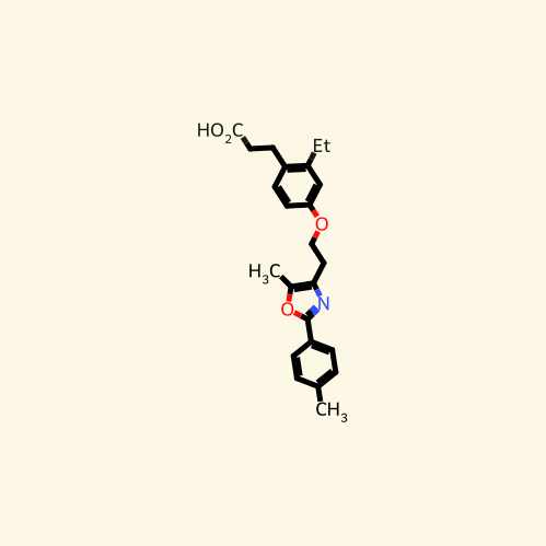 CCc1cc(OCCc2nc(-c3ccc(C)cc3)oc2C)ccc1CCC(=O)O